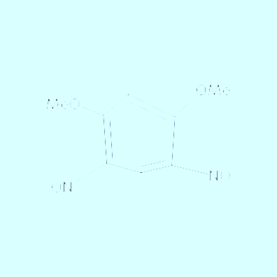 COc1cc(OC)c(N=O)cc1N=O